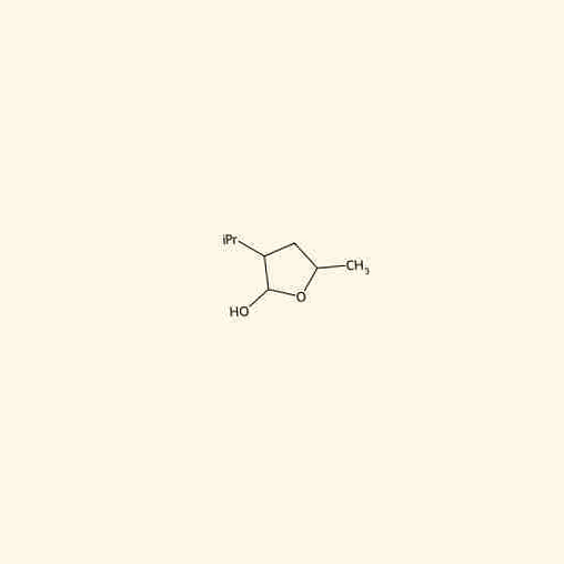 CC1CC(C(C)C)C(O)O1